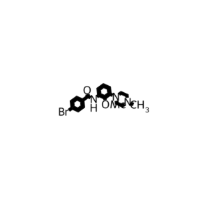 COc1c(NC(=O)c2ccc(Br)cc2)cccc1N1CCN(C)CC1